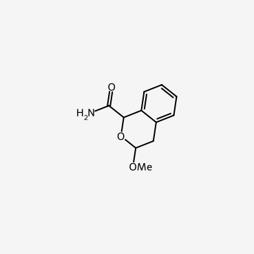 COC1Cc2ccccc2C(C(N)=O)O1